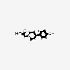 O=C(O)CN1CCC(c2ccc(O)cc2)CC1